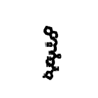 CN1CCC(Nc2cc(C(=O)NC[C@H](O)CN3CCc4ccccc4C3)ncn2)C1